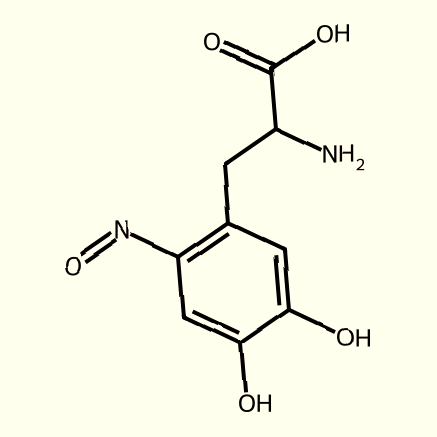 NC(Cc1cc(O)c(O)cc1N=O)C(=O)O